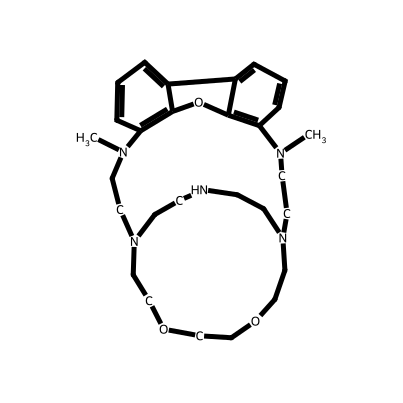 CN1CCN2CCNCCN(CCOCCOCC2)CCN(C)c2cccc3c2oc2c1cccc23